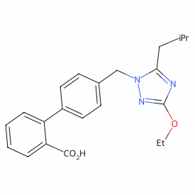 CCOc1nc(CC(C)C)n(Cc2ccc(-c3ccccc3C(=O)O)cc2)n1